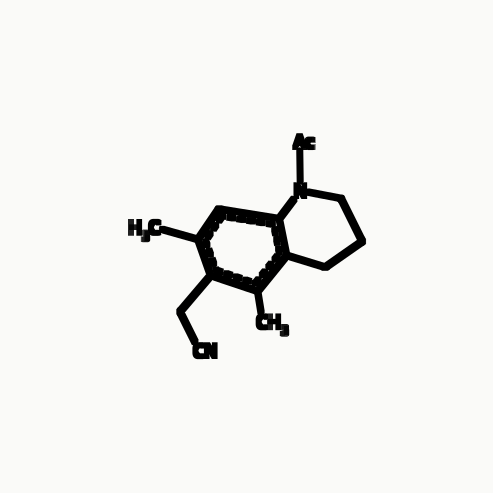 CC(=O)N1CCCc2c1cc(C)c(CC#N)c2C